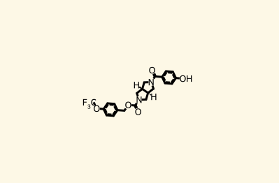 O=C(OCc1ccc(OC(F)(F)F)cc1)N1C[C@@H]2CN(C(=O)c3ccc(O)cc3)C[C@H]2C1